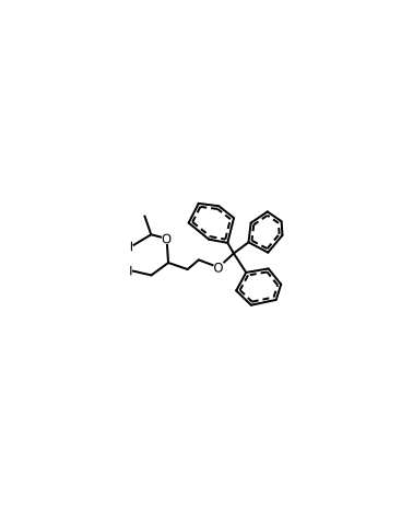 CC(I)OC(CI)CCOC(c1ccccc1)(c1ccccc1)c1ccccc1